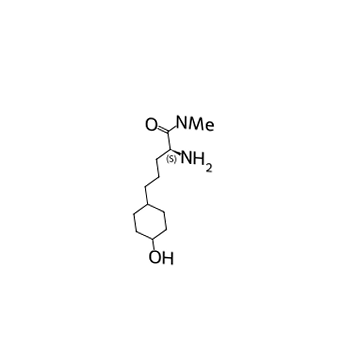 CNC(=O)[C@@H](N)CCCC1CCC(O)CC1